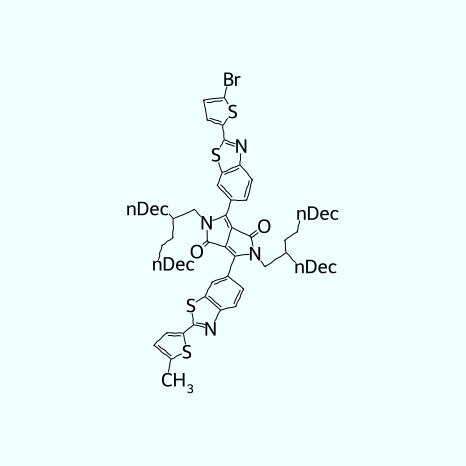 CCCCCCCCCCCCC(CCCCCCCCCC)CN1C(=O)C2=C(c3ccc4nc(-c5ccc(Br)s5)sc4c3)N(CC(CCCCCCCCCC)CCCCCCCCCCCC)C(=O)C2=C1c1ccc2nc(-c3ccc(C)s3)sc2c1